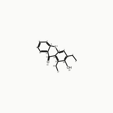 CCc1cc2sc3ccccc3c(=O)c2c(CC)c1O